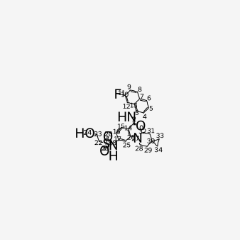 O=C(Nc1cccc2ccc(F)cc12)c1ccc(NS(=O)(=O)CCO)cc1N1CCC2(CC1)CC2